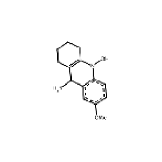 COc1ccc2c(c1)C(N)C1=C(CCCC1)N2O